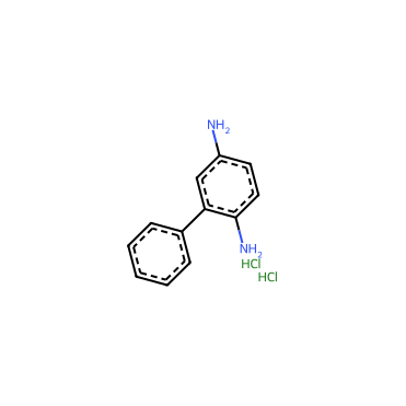 Cl.Cl.Nc1ccc(N)c(-c2ccccc2)c1